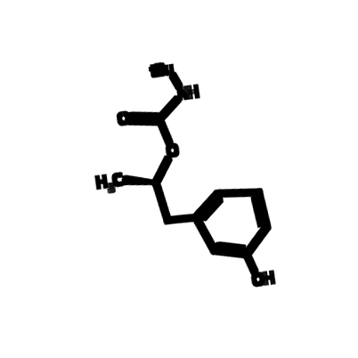 C[C@H](Cc1cccc(O)c1)OC(=O)NC(C)(C)C